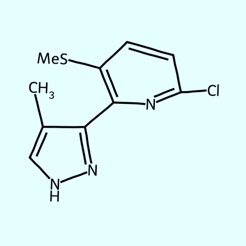 CSc1ccc(Cl)nc1-c1n[nH]cc1C